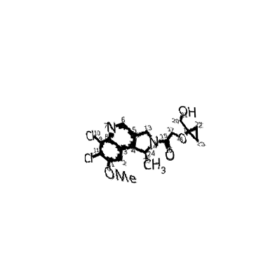 COc1cc2c3c(cnc2c(Cl)c1Cl)CN(C(=O)COC1(CO)CC1)[C@H]3C